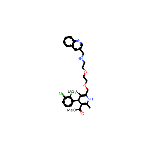 CCOC(=O)C1=C(COCCOCCNCc2cnc3ccccc3c2)NC(C)=C(C(=O)OC)C1c1cccc(Cl)c1Cl